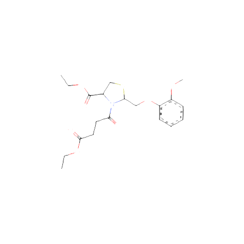 CCOC(=O)CCC(=O)N1C(COc2ccccc2OC)SCC1C(=O)OCC